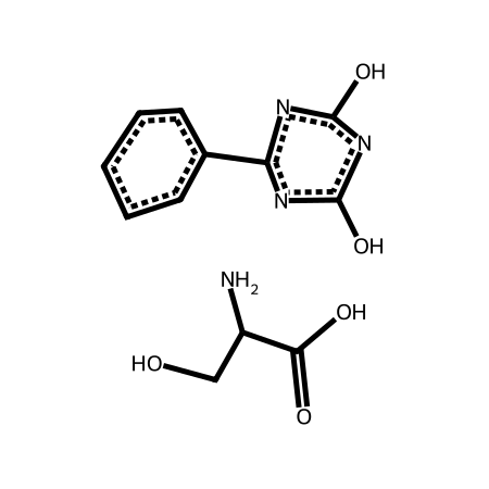 NC(CO)C(=O)O.Oc1nc(O)nc(-c2ccccc2)n1